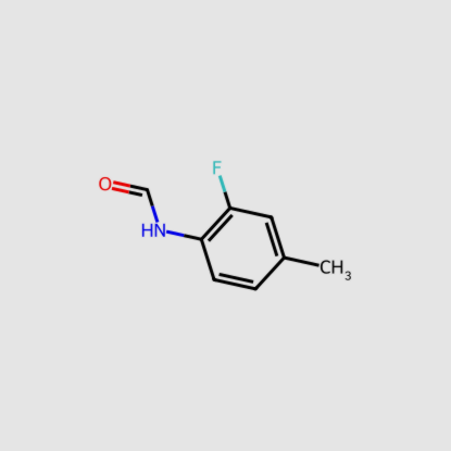 Cc1ccc(NC=O)c(F)c1